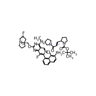 CN(c1nc(OC[C@@]23CCCN2C[C@H](F)C3)nc2c(F)c(-c3cccc4ccc(F)c(Cl)c34)ncc12)[C@@H]1CCN(C(=O)/C=C/C2CCCN2C(=O)OC(C)(C)C)C1